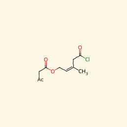 CC(=O)CC(=O)OCC=C(C)CC(=O)Cl